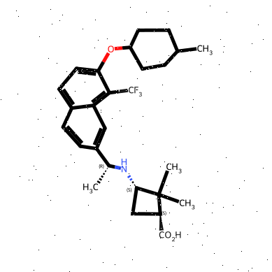 CC1CCC(Oc2ccc3ccc([C@@H](C)N[C@H]4C[C@H](C(=O)O)C4(C)C)cc3c2C(F)(F)F)CC1